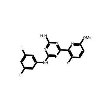 COc1ccc(F)c(-c2nc(N)nc(Nc3cc(F)cc(F)c3)n2)n1